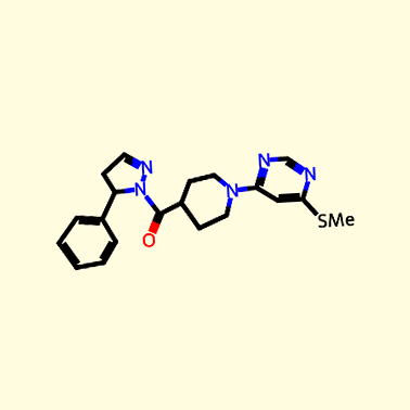 CSc1cc(N2CCC(C(=O)N3N=CCC3c3ccccc3)CC2)ncn1